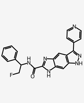 O=C(NC(CF)c1ccccc1)c1nc2cc3c(-c4ccncc4)n[nH]c3cc2[nH]1